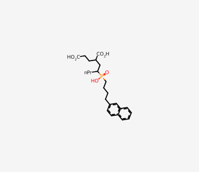 CCCC(CC(CCC(=O)O)C(=O)O)P(=O)(O)CCCCc1ccc2ccccc2c1